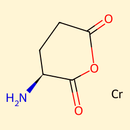 N[C@H]1CCC(=O)OC1=O.[Cr]